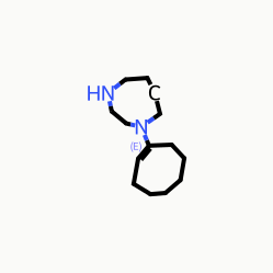 C1=C(/N2CCCCNCC2)CCCCCC/1